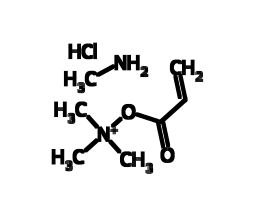 C=CC(=O)O[N+](C)(C)C.CN.Cl